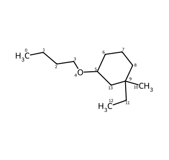 CCCCOC1CCCC(C)(CC)C1